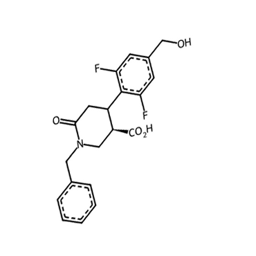 O=C(O)[C@H]1CN(Cc2ccccc2)C(=O)CC1c1c(F)cc(CO)cc1F